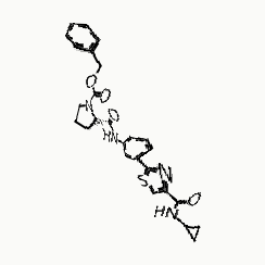 O=C(NC1CC1)c1csc(-c2cccc(NC(=O)[C@@H]3CCCN3C(=O)OCc3ccccc3)c2)n1